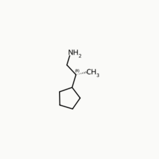 C[C@@H](CN)C1CCCC1